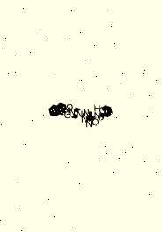 CN(C)c1nc(N2CCN(S(=O)(=O)c3ccc4ccccc4c3)CC2)ncc1C(=O)NOC1CCCCO1